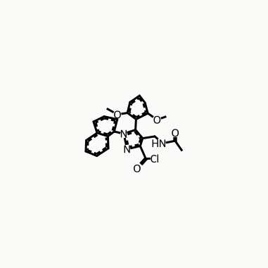 COc1cccc(OC)c1-c1c(CNC(C)=O)c(C(=O)Cl)nn1-c1cccc2ccccc12